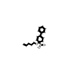 C=CCCCOC1([N+](=O)[O-])C=CC(c2ccccc2)=CC1